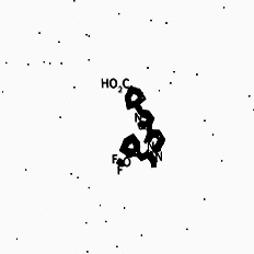 Cc1nc2ccc(-c3ccc(C4CCC(C(=O)O)CC4)nc3)cn2c1Cc1ccccc1OC(F)F